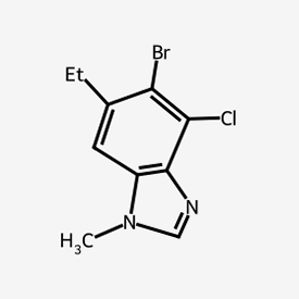 CCc1cc2c(ncn2C)c(Cl)c1Br